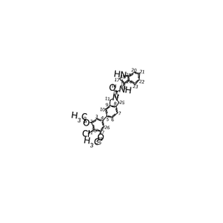 COc1cc(-c2ccc3c(c2)CN(C(=O)Nc2c[nH]c4ccccc24)C3)cc(OC)c1Cl